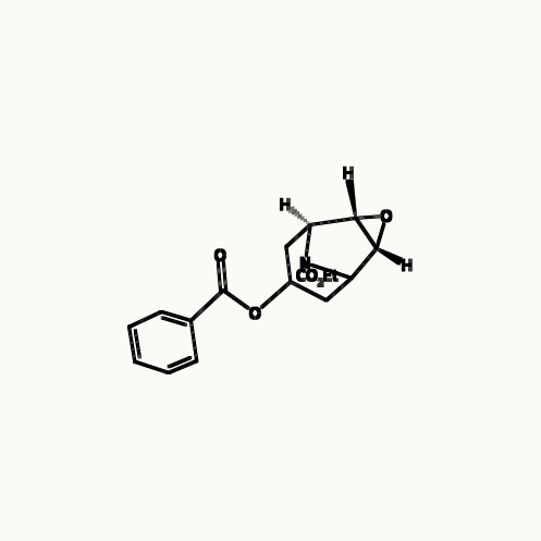 CCOC(=O)N1C2CC(OC(=O)c3ccccc3)C[C@H]1[C@@H]1O[C@H]21